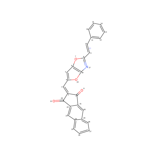 O=C1C(=Cc2cc3oc(/C=C/c4ccccc4)nc3o2)C(=O)c2cc3ccccc3cc21